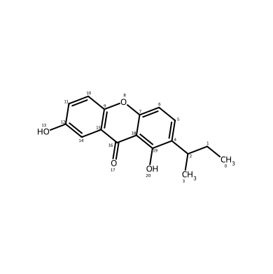 CCC(C)c1ccc2oc3ccc(O)cc3c(=O)c2c1O